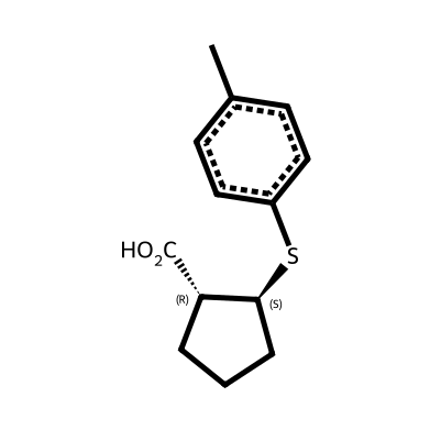 Cc1ccc(S[C@H]2CCC[C@@H]2C(=O)O)cc1